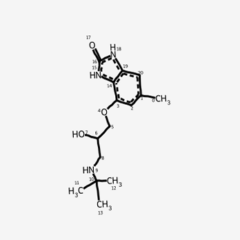 Cc1cc(OCC(O)CNC(C)(C)C)c2[nH]c(=O)[nH]c2c1